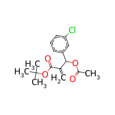 C=C(C(=O)OC(C)(C)C)C(OC(C)=O)c1cccc(Cl)c1